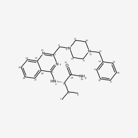 CC(C)[C@H](Nc1nc(CN2CCN(Cc3ccccc3)CC2)nc2ccccc12)C(N)=O